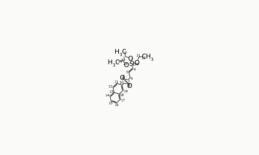 CCO[Si](/C=C/CS(=O)(=O)c1ccc2ccccc2c1)(OCC)OCC